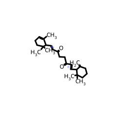 C=C1CCCC(C)(C)C1/C=C/C(=O)CCC(=O)/C=C/C1C(C)=CCCC1(C)C